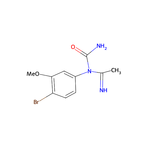 COc1cc(N(C(C)=N)C(N)=O)ccc1Br